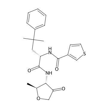 C[C@@H]1OCC(=O)[C@H]1NC(=O)[C@H](CC(C)(C)c1ccccc1)NC(=O)c1ccsc1